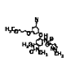 COCCCOc1cc(C#N)cc(Oc2cc3c(cc2NS(=O)(=O)c2ccn(C)n2)n(C)c(=O)n3C)c1